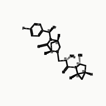 CC(C)[C@H](c1ccc(F)cc1)N1C(=O)[C@@H]2C[C@H]1CN2C[C@H](N)C(=O)N1[C@H](C#N)C[C@@H]2C[C@@H]21